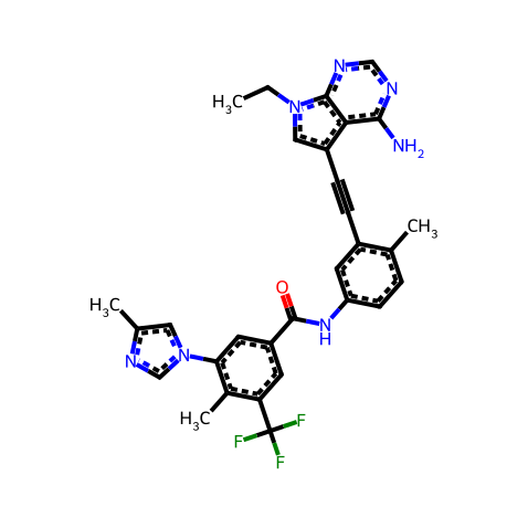 CCn1cc(C#Cc2cc(NC(=O)c3cc(-n4cnc(C)c4)c(C)c(C(F)(F)F)c3)ccc2C)c2c(N)ncnc21